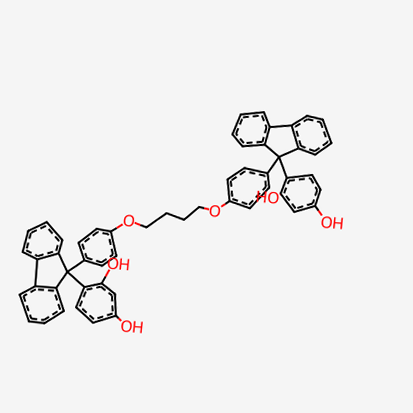 Oc1ccc(C2(c3ccc(OCCCCOc4ccc(C5(c6ccc(O)cc6O)c6ccccc6-c6ccccc65)cc4)cc3)c3ccccc3-c3ccccc32)c(O)c1